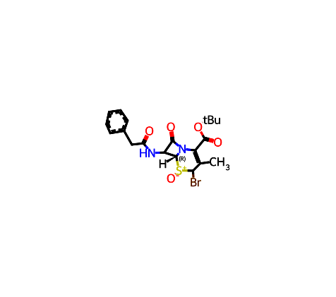 CC1=C(C(=O)OC(C)(C)C)N2C(=O)C(NC(=O)Cc3ccccc3)[C@H]2[S+]([O-])C1Br